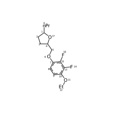 CCCC1CCC(COc2ccc(OCC)c(F)c2F)O1